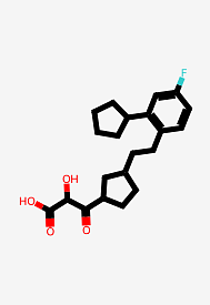 O=C(O)C(O)C(=O)C1CCC(CCc2ccc(F)cc2C2CCCC2)C1